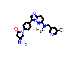 CN(Cc1cncc(Cl)c1)c1ccc2ncc(-c3ccc(N4C[C@@H](N)CC4=O)cc3)n2n1